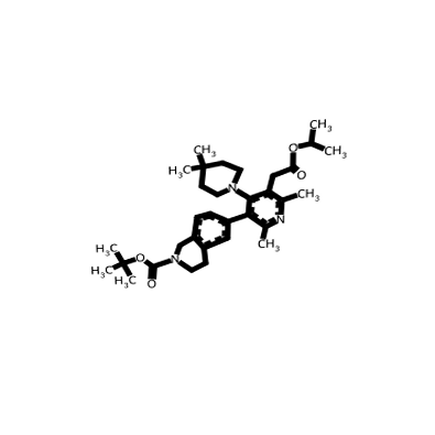 Cc1nc(C)c(-c2ccc3c(c2)CCN(C(=O)OC(C)(C)C)C3)c(N2CCC(C)(C)CC2)c1CC(=O)OC(C)C